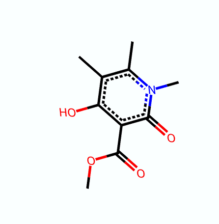 COC(=O)c1c(O)c(C)c(C)n(C)c1=O